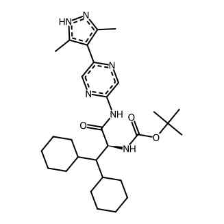 Cc1n[nH]c(C)c1-c1cnc(NC(=O)[C@@H](NC(=O)OC(C)(C)C)C(C2CCCCC2)C2CCCCC2)cn1